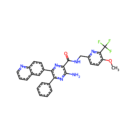 COc1ccc(CNC(=O)c2nc(-c3ccc4ncccc4c3)c(-c3ccccc3)nc2N)nc1C(F)(F)F